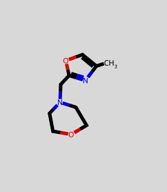 Cc1coc(CN2CCOCC2)n1